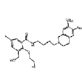 COc1cc2c(cc1OC)CN(CCCCNC(=O)c1cc(I)cc(CO)c1OCC[18F])CC2